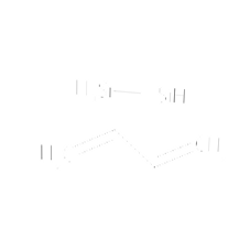 C=CC=C.[SiH3][SiH3]